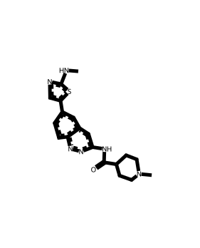 CNc1ncc(-c2ccc3nnc(NC(=O)C4CCN(C)CC4)cc3c2)s1